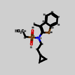 Cc1c(N(CCC2CC2)S(=O)(=O)CC(=O)O)sc2ccccc12